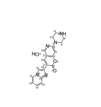 Cl.O=c1oc2cc(N3CCNCC3)ncc2cc1-c1cn2ccccc2n1